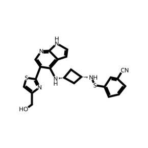 N#Cc1cccc(SN[C@H]2C[C@@H](Nc3c(-c4nc(CO)cs4)cnc4[nH]ccc34)C2)c1